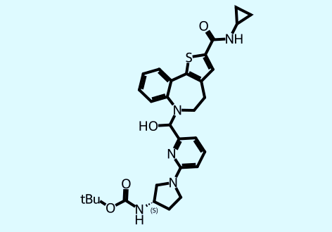 CC(C)(C)OC(=O)N[C@H]1CCN(c2cccc(C(O)N3CCc4cc(C(=O)NC5CC5)sc4-c4ccccc43)n2)C1